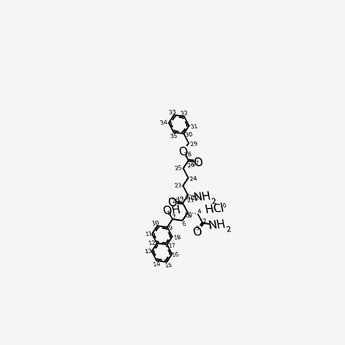 Cl.NC(=O)C[C@H](CC(O)c1ccc2ccccc2c1)C(=O)[C@@H](N)CCCC(=O)OCc1ccccc1